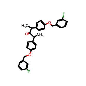 CC(C(=O)C(C)c1ccc(OCc2cccc(F)c2)cc1)c1ccc(OCc2cccc(F)c2)cc1